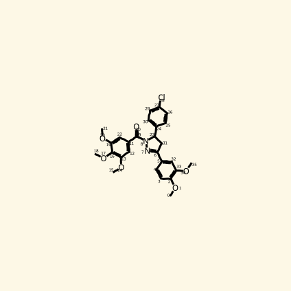 COc1ccc(C2=NN(C(=O)c3cc(OC)c(OC)c(OC)c3)C(c3ccc(Cl)cc3)C2)cc1OC